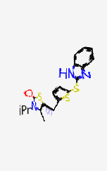 CC(C)N1C(=O)S/C(=C\c2ccc(Sc3nc4ccccc4[nH]3)s2)C1C